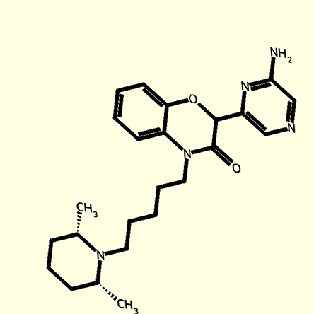 C[C@@H]1CCC[C@H](C)N1CCCCCN1C(=O)C(c2cncc(N)n2)Oc2ccccc21